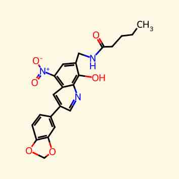 CCCCC(=O)NCc1cc([N+](=O)[O-])c2cc(-c3ccc4c(c3)OCO4)cnc2c1O